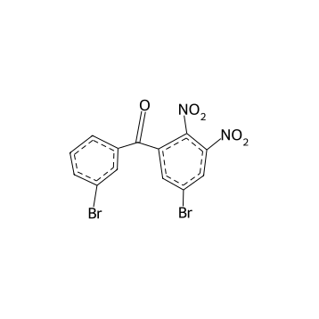 O=C(c1cccc(Br)c1)c1cc(Br)cc([N+](=O)[O-])c1[N+](=O)[O-]